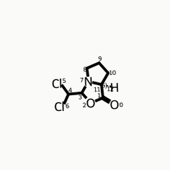 O=C1OC(C(Cl)Cl)N2CCC[C@@H]12